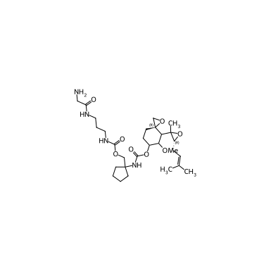 COC1C(OC(=O)NC2(COC(=O)NCCCNC(=O)CN)CCCC2)CC[C@]2(CO2)C1C1(C)O[C@@H]1CC=C(C)C